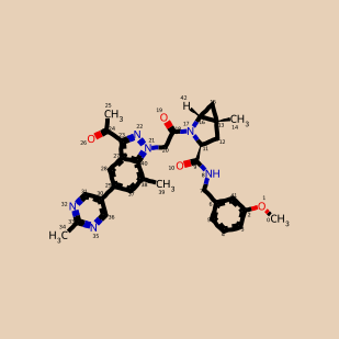 COc1cccc(CNC(=O)[C@@H]2C[C@@]3(C)C[C@H]3N2C(=O)Cn2nc(C(C)=O)c3cc(-c4cnc(C)nc4)cc(C)c32)c1